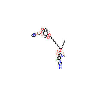 C=C[C@@]1(C)C[C@H](OC(=O)CSC2CC3CCC(C2)N3C)[C@@](C)(C(C)CC)C2C(=O)CCC2(C)[C@H](C)[C@H]1OC(=O)CCCCCCCCCCC(CCCCCC)OC(=O)c1c2n(c3cc(N4CCNCC4)c(F)cc3c1=O)C(C)S2